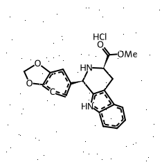 COC(=O)[C@H]1Cc2c([nH]c3ccccc23)[C@@H](c2ccc3c(c2)OCO3)N1.Cl